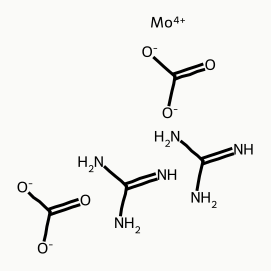 N=C(N)N.N=C(N)N.O=C([O-])[O-].O=C([O-])[O-].[Mo+4]